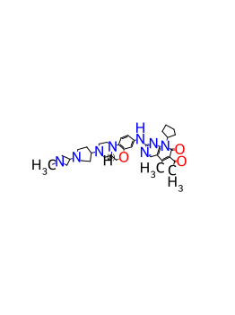 CC(=O)c1c(C)c2cnc(Nc3ccc4c(c3)OC[C@@H]3CN(C5CCN(C6CN(C)C6)CC5)CCN43)nc2n(C2CCCC2)c1=O